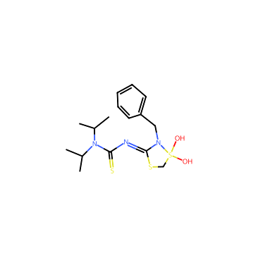 CC(C)N(C(=S)N=C1SCS(O)(O)N1Cc1ccccc1)C(C)C